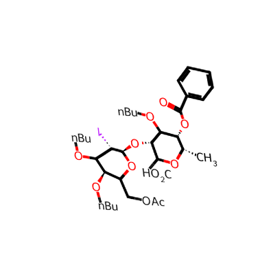 CCCCOC1[C@H](OCCCC)C(COC(C)=O)O[C@H](O[C@H]2C(C(=O)O)O[C@@H](C)[C@@H](OC(=O)c3ccccc3)C2OCCCC)[C@H]1I